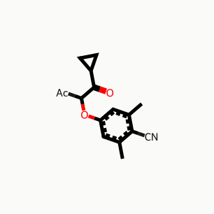 CC(=O)C(Oc1cc(C)c(C#N)c(C)c1)C(=O)C1CC1